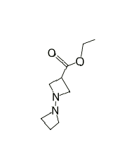 CCOC(=O)C1CN(N2CCC2)C1